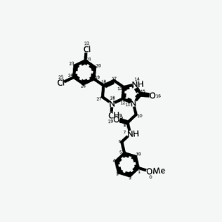 COc1cccc(CNC(=O)Cn2c3c([nH]c2=O)C=C(c2cc(Cl)cc(Cl)c2)CN3C)c1